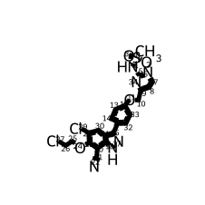 CS(=O)(=O)Nc1nccc(COc2ccc(-c3n[nH]c4c(C#N)c(OCCCl)c(Cl)cc34)cc2)n1